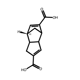 O=C(O)C1=CC2C3C[C@@H](C=C3C(=O)O)C2C1